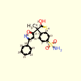 CC(C(O)=S)(c1ccc(S(N)(=O)=O)cc1)c1cc(-c2ccccc2)no1